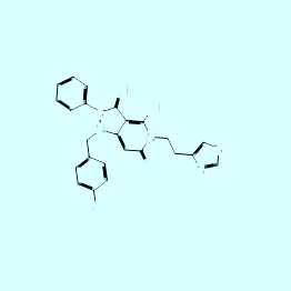 C=C1c2c(cc(=O)n(CCc3c[nH]cn3)c2C)N(Cc2ccc(Cl)cc2)N1c1ccccc1